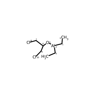 C[CH2][Al]([CH2]C)[O]C(CCl)CCl